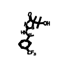 C[C@H](NC1=NC(=O)C(C)(C(C)(C)O)S1)c1cccc(C(F)(F)F)c1